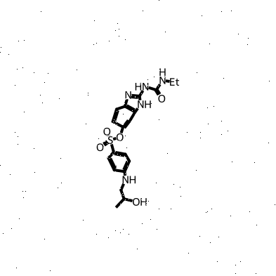 CCNC(=O)Nc1nc2ccc(OS(=O)(=O)c3ccc(NCC(C)O)cc3)cc2[nH]1